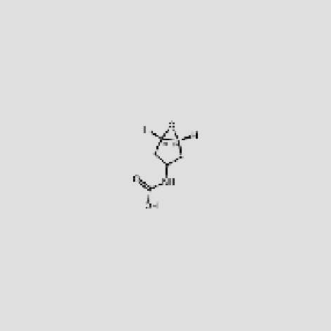 O=C(O)NC1C[C@@H]2O[C@@H]2C1